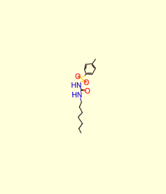 CCCCCCCNC(=O)NS(=O)(=O)c1ccc(C)cc1